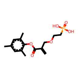 C=C(COCCP(=O)(O)O)C(=O)Oc1c(C)cc(C)cc1C